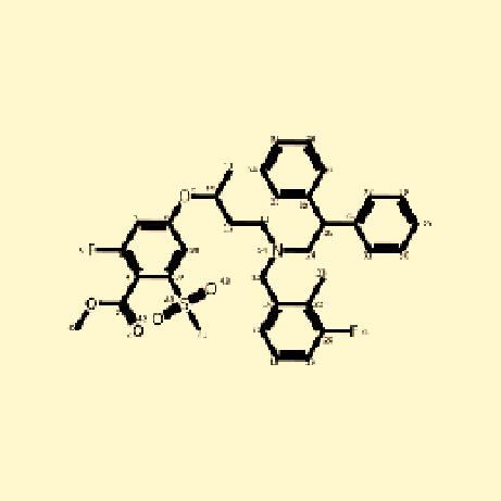 COC(=O)c1c(F)cc(OC(C)CCN(Cc2cccc(F)c2C)CC(c2ccccc2)c2ccccc2)cc1S(C)(=O)=O